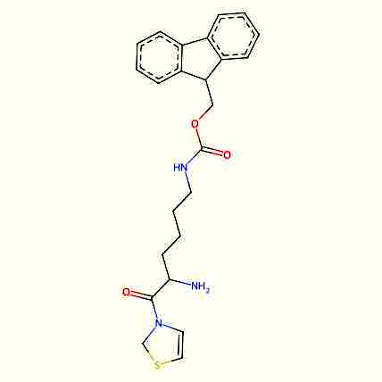 NC(CCCCNC(=O)OCC1c2ccccc2-c2ccccc21)C(=O)N1C=CSC1